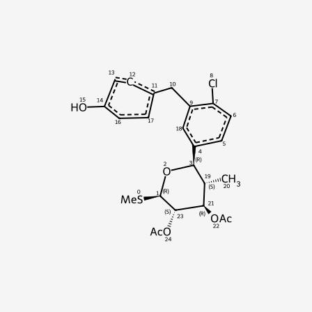 CS[C@H]1O[C@@H](c2ccc(Cl)c(Cc3ccc(O)cc3)c2)[C@H](C)[C@@H](OC(C)=O)[C@@H]1OC(C)=O